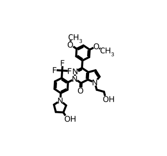 COc1cc(OC)cc(-c2nn(-c3cc(N4CCC(O)C4)ccc3C(F)(F)F)c(=O)c3c2ccn3CCO)c1